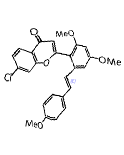 COc1ccc(/C=C/c2cc(OC)cc(OC)c2-c2cc(=O)c3ccc(Cl)cc3o2)cc1